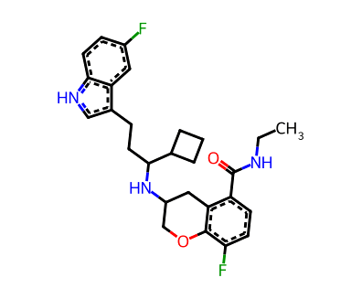 CCNC(=O)c1ccc(F)c2c1CC(NC(CCc1c[nH]c3ccc(F)cc13)C1CCC1)CO2